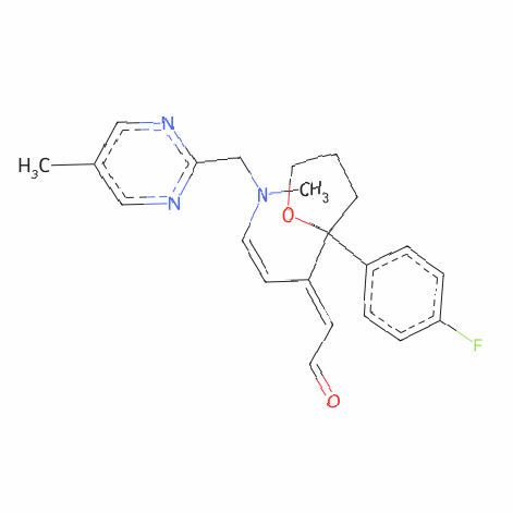 Cc1cnc(CN(C)/C=C\C(=C/C=O)C2(c3ccc(F)cc3)CCCO2)nc1